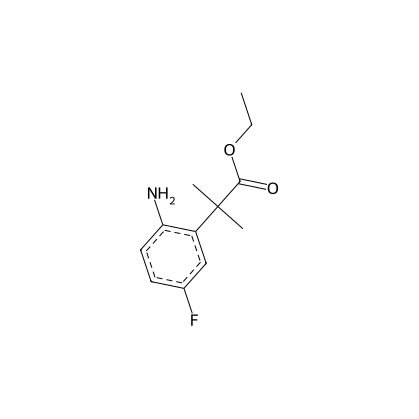 CCOC(=O)C(C)(C)c1cc(F)ccc1N